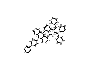 c1ccc(-c2cnc(-c3c4ccccc4c(-c4cccc5c4ccc4c(-c6ccccc6)c6ccccc6c(-c6ccccc6)c45)c4ccccc34)nc2)cc1